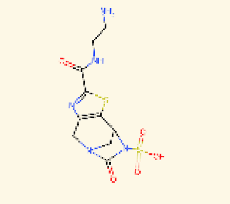 NCCNC(=O)c1nc2c(s1)C1CN(C2)C(=O)N1S(=O)(=O)O